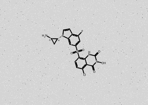 N[C@@H]1C[C@H]1n1ccc2c(F)cc(S(=O)(=O)c3ccc(Cl)c4c(=O)n(O)c(=O)[nH]c34)cc21